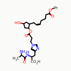 CC(C)OC(=O)CCC/C=C\CC1CC(O)CC1OC(=O)CCn1cnc(CC(NC(=O)C(C)N)C(=O)O)c1